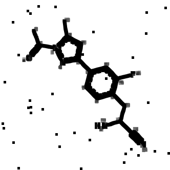 CC(=O)n1nc(-c2ccc(CC(N)C#N)c(F)c2)cc1C